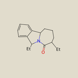 CCC1CCCC2c3ccccc3C(CC)N2C1=O